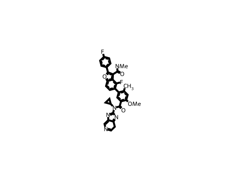 CNC(=O)c1c(-c2ccc(F)cc2)oc2ccc(-c3cc(C(=O)N(C4=NC5=CN=CCC5=N4)C4CC4)c(OC)cc3C)c(F)c12